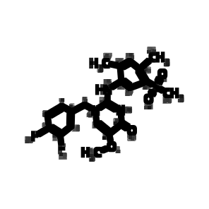 COc1cn(Cc2ccc(F)c(F)c2)c(Nc2cc(S(C)(=O)=O)c(C)cc2C)nc1=O